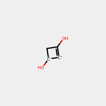 OC1=[C+][C+](O)C1